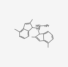 CCC[SiH]=[Hf]([CH]1C(C)=Cc2c(C)cccc21)[CH]1C(C)=Cc2c(C)cccc21